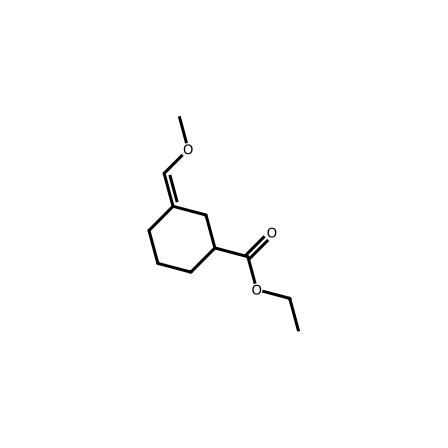 CCOC(=O)C1CCCC(=COC)C1